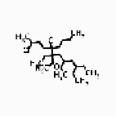 CCCCC(Cl)(CCC(C)Cl)C(CC)(CC(CC)CC(CC)CC)C(C)=O